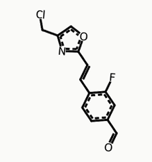 O=Cc1ccc(/C=C/c2nc(CCl)co2)c(F)c1